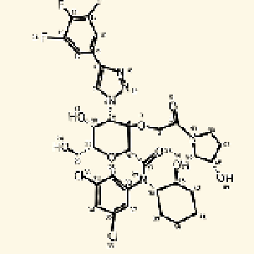 O=C(CO[C@@H]1[C@@H](n2cc(-c3cc(F)c(F)c(F)c3)nn2)[C@@H](O)[C@@H](CO)O[C@H]1C(=O)N(c1cc(Cl)cc(Cl)c1)[C@H]1CCCC[C@@H]1O)N1CC[C@H](O)C1